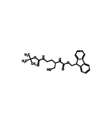 CC(C)(C)OC(=O)NCCC(CO)NC(=O)OCC1c2ccccc2-c2ccccc21